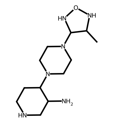 CC1NONC1N1CCN(C2CCNCC2N)CC1